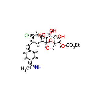 CCOC(=O)OC[C@@]12CO[C@@](c3ccc(Cl)c(Cc4ccc(C(C)=N)cc4)c3)(O1)[C@H](O)[C@@H](O)[C@@H]2O